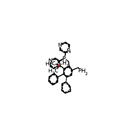 CC(C)(C)c1c(CP(c2cnccn2)c2cnccn2)c(CP)cc(-c2ccccc2)c1-c1ccccc1